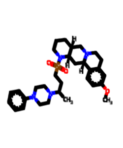 COc1ccc2c(c1)CCN1C[C@H]3CCCN(S(=O)(=O)CCC(C)N4CCN(c5ccccc5)CC4)[C@H]3C[C@@H]21